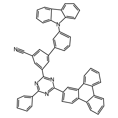 N#Cc1cc(-c2cccc(-n3c4ccccc4c4ccccc43)c2)cc(-c2nc(-c3ccccc3)nc(-c3ccc4c5ccccc5c5ccccc5c4c3)n2)c1